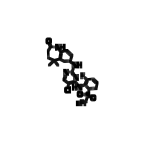 CCCS(=O)(=O)c1cccc(F)c1Nc1nc(Nc2ccc3c(c2)C(C)(C)CCC(=O)N3)ncc1Cl